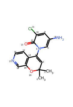 CC1(C)C=C(n2cc(N)cc(Cl)c2=O)c2ccncc2O1